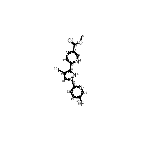 COC(=O)c1cnc(-c2nn(-c3ccc(F)cn3)cc2I)cn1